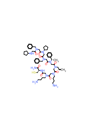 C=CCN(CC(=O)N(CCCCN)CC(=O)N(CCCCN)CC(=O)N[C@@H](CS)C(N)=O)C(=O)CN(C(=O)CN(Cc1ccccc1)C(=O)CN(C(=O)CN(Cc1ccccc1)C(=O)CNC1CCCC1)C1CCCC1)[C@@H](C)c1ccccc1